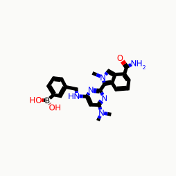 CN(C)c1cc(NCc2cccc(B(O)O)c2)nc(-c2c3cccc(C(N)=O)c3cn2C)n1